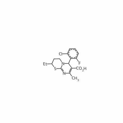 CCC1CCN2C(=NC(C)=C(C(=O)O)C2c2c(F)cccc2Cl)S1